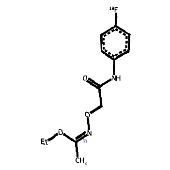 CCO/C(C)=N\OCC(=O)Nc1ccc([18F])cc1